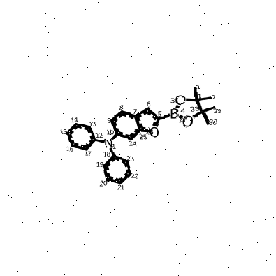 CC1(C)OB(c2cc3ccc(N(c4ccccc4)c4ccccc4)cc3o2)OC1(C)C